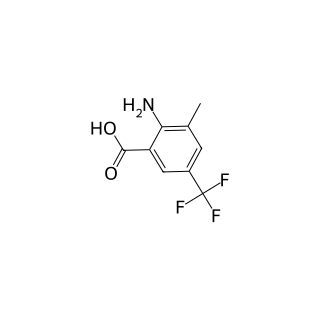 Cc1cc(C(F)(F)F)cc(C(=O)O)c1N